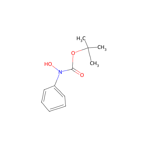 CC(C)(C)OC(=O)N(O)c1ccccc1